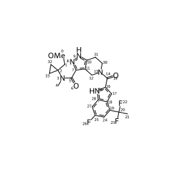 COCC1(N(C)C(=O)c2n[nH]c3c2CN(C(=O)c2cc4c(C(C)(F)F)cc(F)cc4[nH]2)CC3)CC1